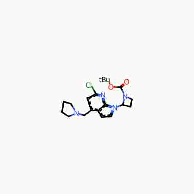 CC(C)(C)OC(=O)N1CCC1n1ccc2c(CN3CCCC3)cc(Cl)nc21